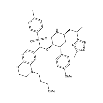 COCCCN1CCOc2ccc(C(O[C@H]3CN[C@@H](CC(C)n4nnc(C)n4)C[C@@H]3c3ccc(OC)cc3)S(=O)(=O)c3ccc(C)cc3)cc21